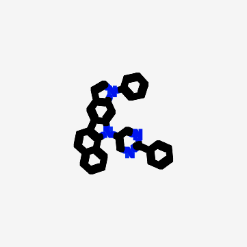 c1ccc(-c2ncc(-n3c4cc5c(ccn5-c5ccccc5)cc4c4ccc5ccccc5c43)cn2)cc1